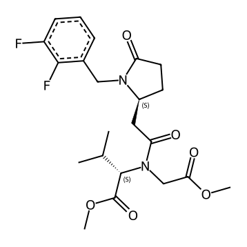 COC(=O)CN(C(=O)C[C@@H]1CCC(=O)N1Cc1cccc(F)c1F)[C@H](C(=O)OC)C(C)C